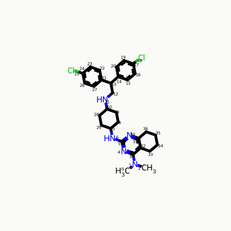 CN(C)c1nc(NC2CCC(NCC(c3ccc(Cl)cc3)c3ccc(Cl)cc3)CC2)nc2c1CCCC2